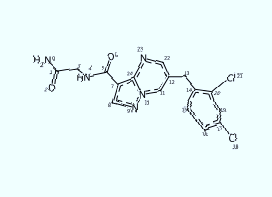 NC(=O)CNC(=O)c1cnn2cc(Cc3ccc(Cl)cc3Cl)cnc12